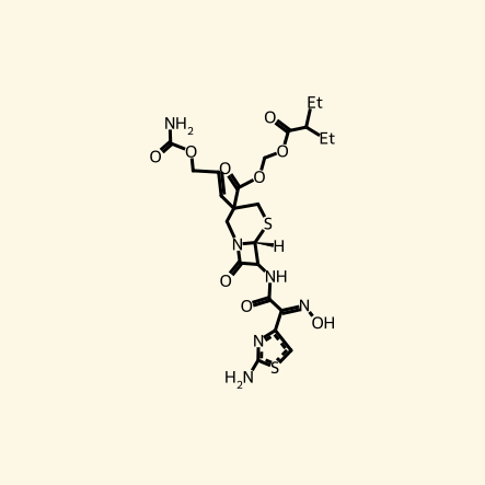 CCC(CC)C(=O)OCOC(=O)C1(C=CCOC(N)=O)CS[C@@H]2C(NC(=O)C(=NO)c3csc(N)n3)C(=O)N2C1